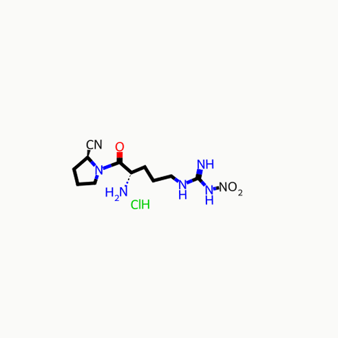 Cl.N#C[C@@H]1CCCN1C(=O)[C@@H](N)CCCNC(=N)N[N+](=O)[O-]